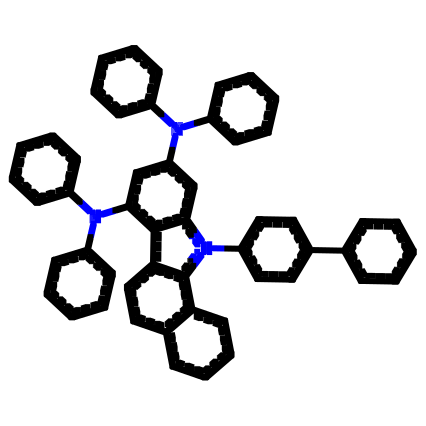 c1ccc(-c2ccc(-n3c4cc(N(c5ccccc5)c5ccccc5)cc(N(c5ccccc5)c5ccccc5)c4c4ccc5ccccc5c43)cc2)cc1